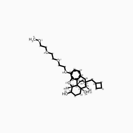 COCCOCCOCCOc1ccc2c3c1O[C@H]1C(O)CC[C@@]4(O)[C@@H](C2)N(CC2CCC2)CC[C@]314